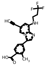 C#Cc1cc(NCCC(F)(F)F)c2ncc(-c3ccc(C(=O)O)c(C)c3)n2c1